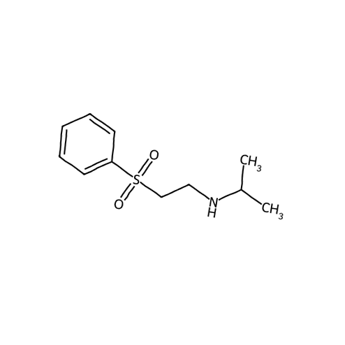 CC(C)NCCS(=O)(=O)c1ccccc1